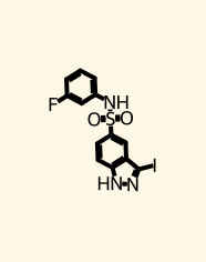 O=S(=O)(Nc1cccc(F)c1)c1ccc2[nH]nc(I)c2c1